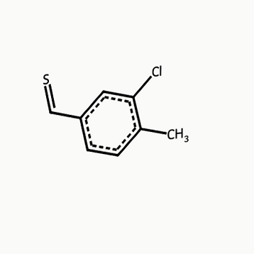 Cc1ccc(C=S)cc1Cl